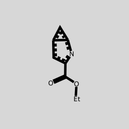 CCOC(=O)c1cc2cc-2n1